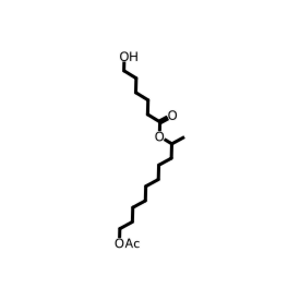 CC(=O)OCCCCCCCCC(C)OC(=O)CCCCCO